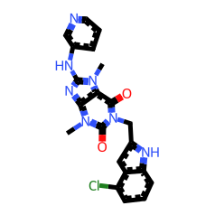 Cn1c(Nc2cccnc2)nc2c1c(=O)n(Cc1cc3c(Cl)cccc3[nH]1)c(=O)n2C